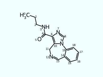 CCCNC(=O)c1ncn2c1CN=Cc1ccccc1-2